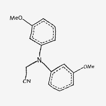 COc1cccc(N(CC#N)c2cccc(OC)c2)c1